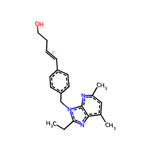 CCc1nc2c(C)cc(C)nc2n1Cc1ccc(/C=C/CCO)cc1